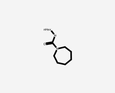 CCCCCC[N]C(=O)N1CCCCCC1